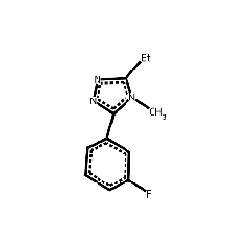 CCc1nnc(-c2cccc(F)c2)n1C